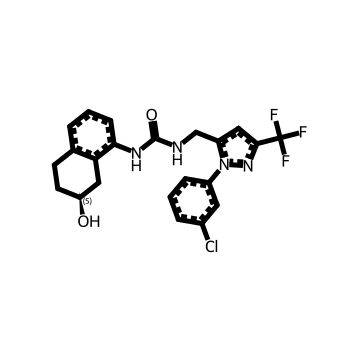 O=C(NCc1cc(C(F)(F)F)nn1-c1cccc(Cl)c1)Nc1cccc2c1C[C@@H](O)CC2